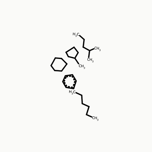 C1CCCCC1.CC1CCCC1.CCCC(C)C.CCCCCC.c1ccccc1